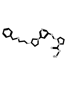 CC(C)(C)OC(=O)N1CCC[C@H]1COc1cncc(N2CC[C@H](CCCOCc3ccccc3)C2)c1